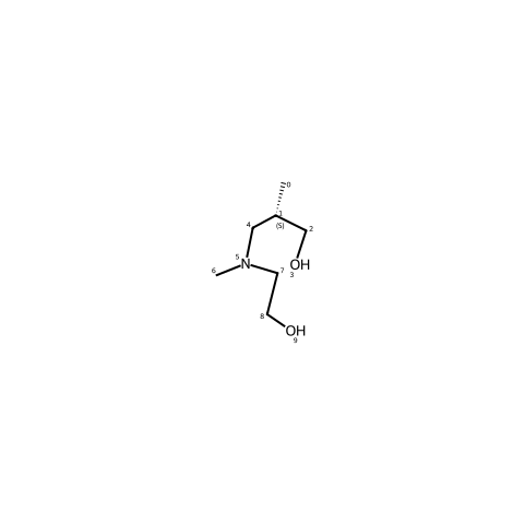 C[C@H](CO)CN(C)CCO